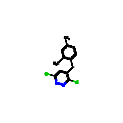 Cc1ccc([CH]c2cc(Cl)nnc2Cl)c(C)c1